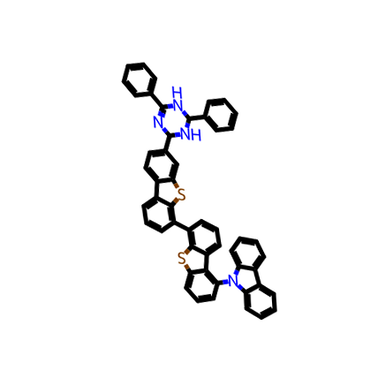 c1ccc(C2=NC(c3ccc4c(c3)sc3c(-c5cccc6c5sc5cccc(-n7c8ccccc8c8ccccc87)c56)cccc34)NC(c3ccccc3)N2)cc1